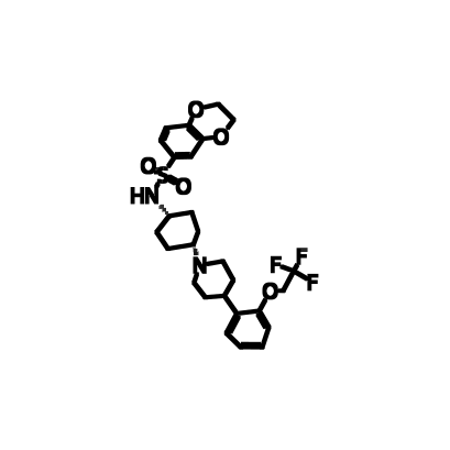 O=S(=O)(N[C@H]1CC[C@@H](N2CCC(c3ccccc3OCC(F)(F)F)CC2)CC1)c1ccc2c(c1)OCCO2